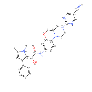 Cc1cc(-c2ccccc2)c(C(O)C(=O)Nc2ccc3c(c2)OCC2CN(c4ncc(C#N)cn4)CCN32)n1C